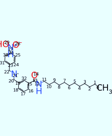 CCCCCCCCCCCCNC(=O)c1cccc(C[N]Cc2ccc([NH+]([O-])O)cc2)c1